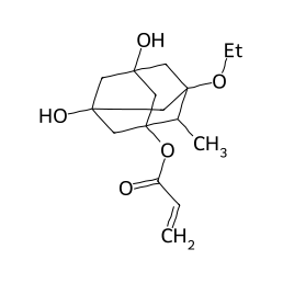 C=CC(=O)OC12CC3(O)CC(O)(CC(OCC)(C3)C1C)C2